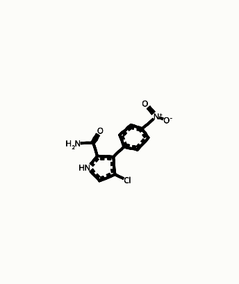 NC(=O)c1[nH]cc(Cl)c1-c1ccc([N+](=O)[O-])cc1